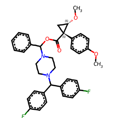 COc1ccc([C@@]2(C(=O)OC(c3ccccc3)N3CCN(C(c4ccc(F)cc4)c4ccc(F)cc4)CC3)C[C@@H]2OC)cc1